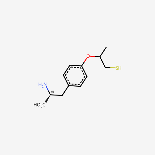 CC(CS)Oc1ccc(C[C@H](N)C(=O)O)cc1